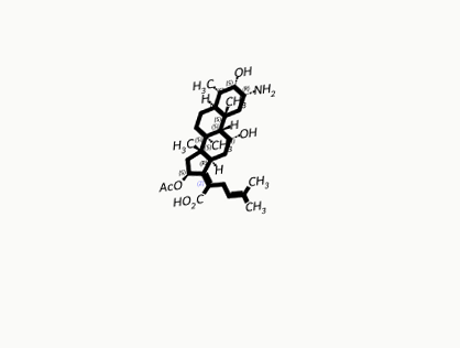 CC(=O)O[C@H]1C[C@@]2(C)[C@@H](C[C@@H](O)[C@H]3[C@@]4(C)C[C@@H](N)[C@@H](O)[C@@H](C)[C@@H]4CC[C@@]32C)/C1=C(\CC=C(C)C)C(=O)O